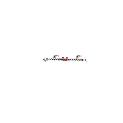 CCCCCCCC(CCCCCCCCCC(=O)OCOC(=O)CCCCCCCCCC(CCCCCCC)SCCO)SCCO